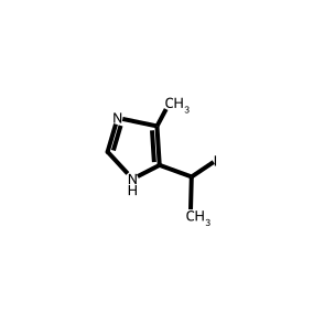 Cc1nc[nH]c1C(C)I